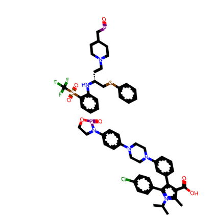 Cc1c(C(=O)O)c(-c2cccc(N3CCN(c4ccc(N5CCO[P@@]5(=O)c5ccc(N[C@H](CCN6CCC(CP=O)CC6)CSc6ccccc6)c(S(=O)(=O)C(F)(F)F)c5)cc4)CC3)c2)c(-c2ccc(Cl)cc2)n1C(C)C